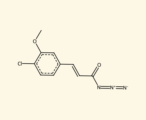 COc1cc(C=CC(=O)N=[N+]=[N-])ccc1Cl